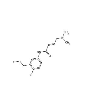 CN(C)C/C=C/C(=O)Nc1ccc(F)c(CCF)c1